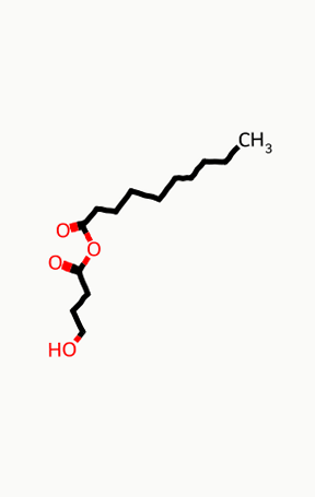 CCCCCCCCCC(=O)OC(=O)CCCO